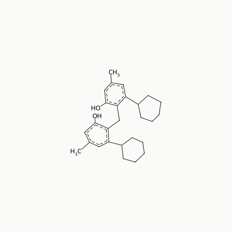 Cc1cc(O)c(Cc2c(O)cc(C)cc2C2CCCCC2)c(C2CCCCC2)c1